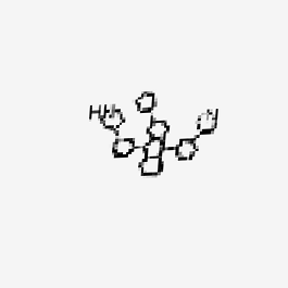 C1=CC(c2cccc(-c3c4ccccc4c(-c4cccc(C5=CC=NCC5)c4)c4ccc(-c5ccccc5)cc34)c2)=CCN1